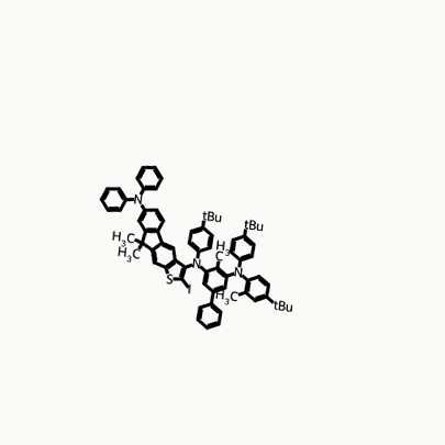 Cc1cc(C(C)(C)C)ccc1N(c1ccc(C(C)(C)C)cc1)c1cc(-c2ccccc2)cc(N(c2ccc(C(C)(C)C)cc2)c2c(I)sc3cc4c(cc23)-c2ccc(N(c3ccccc3)c3ccccc3)cc2C4(C)C)c1C